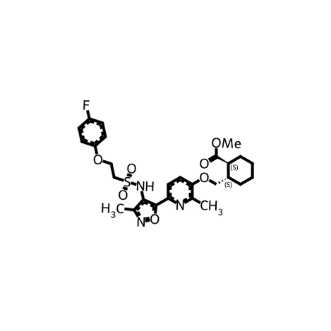 COC(=O)[C@H]1CCCC[C@@H]1COc1ccc(-c2onc(C)c2NS(=O)(=O)CCOc2ccc(F)cc2)nc1C